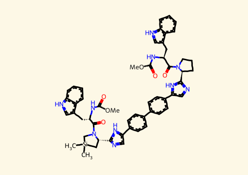 COC(=O)N[C@@H](Cc1c[nH]c2ccccc12)C(=O)N1CCC[C@H]1c1ncc(-c2ccc(-c3ccc(-c4cnc([C@@H]5C[Si](C)(C)CN5C(=O)[C@H](Cc5c[nH]c6ccccc56)NC(=O)OC)[nH]4)cc3)cc2)[nH]1